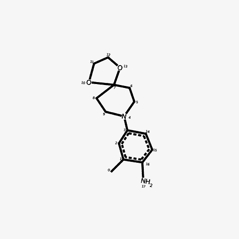 Cc1cc(N2CCC3(CC2)OCCO3)ccc1N